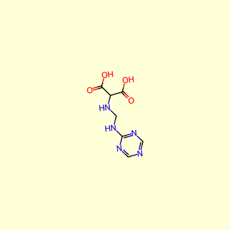 O=C(O)C(NCNc1ncncn1)C(=O)O